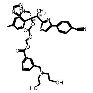 C[C@@H](c1nc(-c2ccc(C#N)cc2)cs1)[C@@](Cn1cncn1)(OC(=O)OCOC(=O)c1cccc(CN(CCO)CCO)c1)c1ccc(F)cc1F